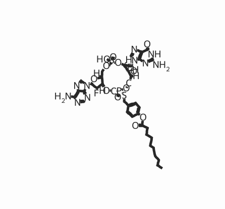 CCCCCCCCCC(=O)Oc1ccc(CSP2(=O)CO[C@H]3[C@@H](F)[C@H](n4cnc5c(N)ncnc54)O[C@@H]3COP(=O)(O)O[C@@H]3[C@H](F)[C@@H](CO2)O[C@H]3n2cnc3c(=O)[nH]c(N)nc32)cc1